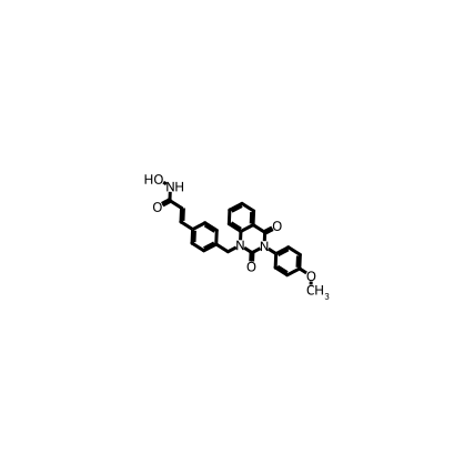 COc1ccc(-n2c(=O)c3ccccc3n(Cc3ccc(C=CC(=O)NO)cc3)c2=O)cc1